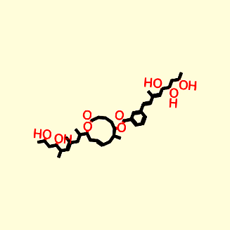 CC(/C=C/c1cccc(C(=O)OC2CCCC(=O)OC(C(C)C/C(C)=C/C(C)C(O)CC(C)O)C/C=C/CC2C)c1)=C\C(O)C(O)CC(C)O